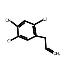 [C-]#[N+]c1cc(Cl)c(CC=C)cc1Cl